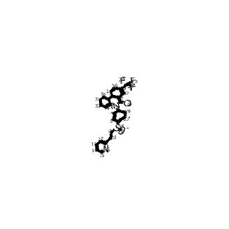 O=C(Nc1ccc([S+]([O-])CCc2ccccn2)cc1)c1cc(C(F)(F)F)ccc1-c1ccccc1